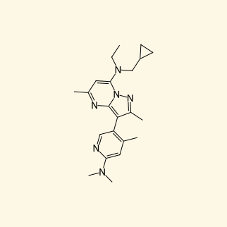 CCN(CC1CC1)c1cc(C)nc2c(-c3cnc(N(C)C)cc3C)c(C)nn12